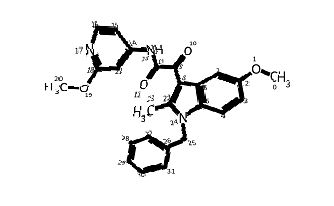 COc1ccc2c(c1)c(C(=O)C(=O)Nc1ccnc(OC)c1)c(C)n2Cc1ccccc1